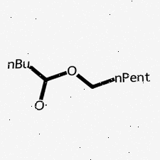 CCCCCCOC([O])CCCC